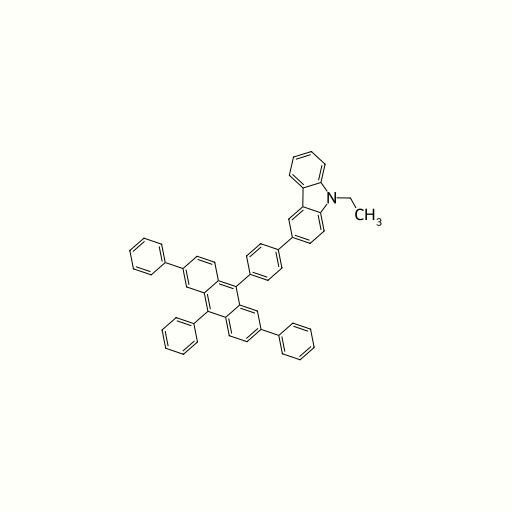 CCn1c2ccccc2c2cc(-c3ccc(-c4c5ccc(-c6ccccc6)cc5c(-c5ccccc5)c5ccc(-c6ccccc6)cc45)cc3)ccc21